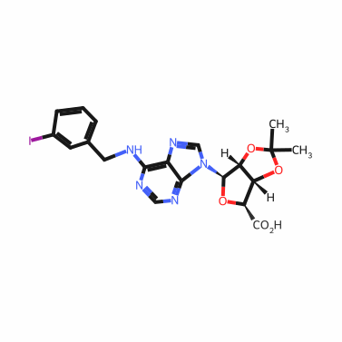 CC1(C)O[C@@H]2[C@H](O1)[C@@H](C(=O)O)O[C@H]2n1cnc2c(NCc3cccc(I)c3)ncnc21